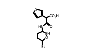 CCC1CCC(NC(=O)C(C(=O)O)c2ccsc2)BO1